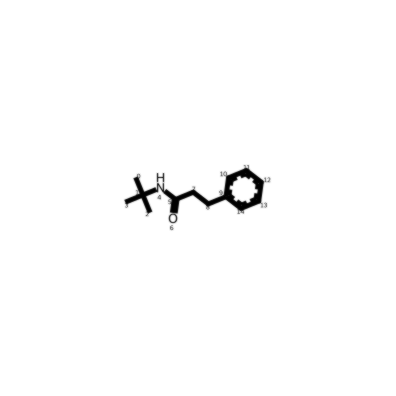 CC(C)(C)NC(=O)C[CH]c1ccccc1